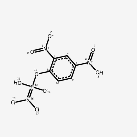 O=[N+]([O-])c1cc([N+](=O)O)ccc1OP([O-])(O)=S(Cl)Cl